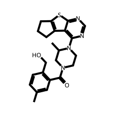 Cc1ccc(CO)c(C(=O)N2CCN(c3ncnc4sc5c(c34)CCC5)C(C)C2)c1